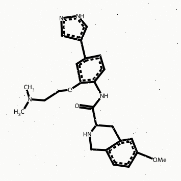 COc1ccc2c(c1)CC(C(=O)Nc1ccc(-c3cn[nH]c3)cc1OCCN(C)C)NC2